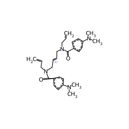 C=CCN(C/C=C/CN(CC=C)C(=O)c1ccc(N(C)C)cc1)C(=O)c1ccc(N(C)C)cc1